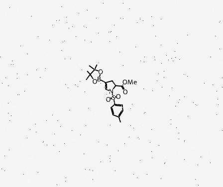 COC(=O)C1CC(B2OC(C)(C)C(C)(C)O2)=CN1S(=O)(=O)c1ccc(C)cc1